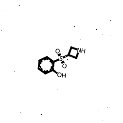 O=S(=O)(c1ccccc1O)C1CNC1